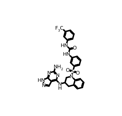 Nc1nc(NC2Cc3ccccc3N(S(=O)(=O)c3cccc(NC(=O)Nc4cccc(C(F)(F)F)c4)c3)C2)c2cn[nH]c2n1